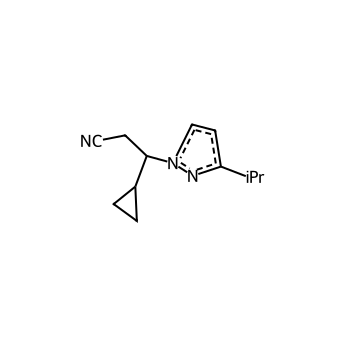 CC(C)c1ccn(C(CC#N)C2CC2)n1